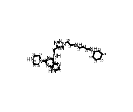 c1nc2c(NCc3nnn(CCNCCCNC4CCCCC4)n3)nc(N3CCNCC3)nc2[nH]1